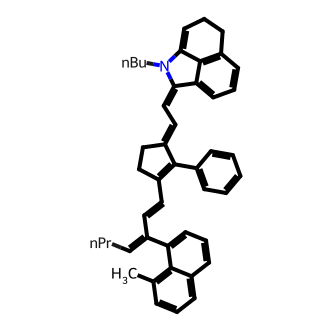 CCC/C=C(\C=C\C1=C(c2ccccc2)C(=C/C=c2\c3cccc4c3c(n2CCCC)=CCC4)/CC1)c1cccc2cccc(C)c12